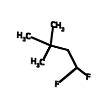 CC(C)(C)CC(F)F